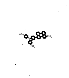 CCCCc1ccc(-n2c3ccc(C)cc3c3cc(-c4ccc5c6ccc(C)c7cccc(c8cccc4c85)c76)ccc32)cc1